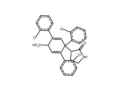 O=C1NCCN1C1(c2ccccc2Cl)C=C(c2ccccc2Cl)C(S(=O)(=O)O)C=C1c1ccccc1Cl